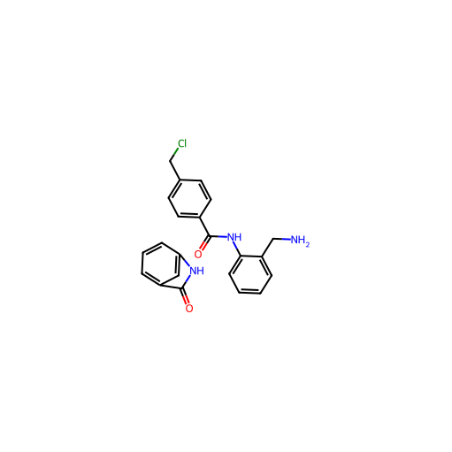 NCc1ccccc1NC(=O)c1ccc(CCl)cc1.O=C1Nc2cccc1c2